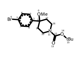 COC1(c2ccc(Br)cc2)CCN(C(=O)OC(C)(C)C)CC1